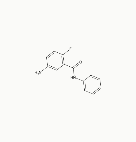 Nc1ccc(F)c(C(=O)Nc2ccccc2)c1